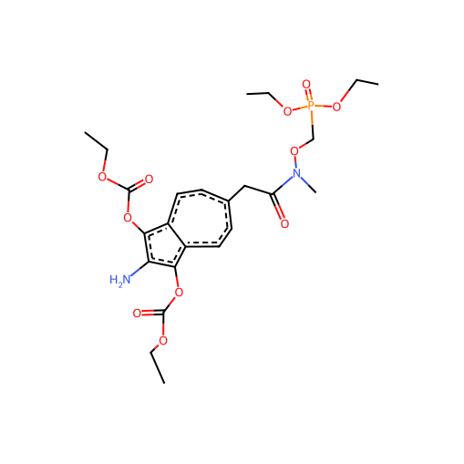 CCOC(=O)Oc1c2ccc(CC(=O)N(C)OCP(=O)(OCC)OCC)ccc-2c(OC(=O)OCC)c1N